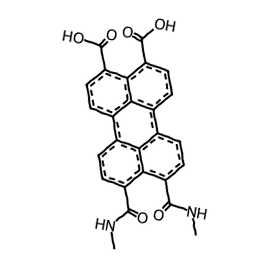 CNC(=O)c1ccc2c3ccc(C(=O)O)c4c(C(=O)O)ccc(c5ccc(C(=O)NC)c1c25)c43